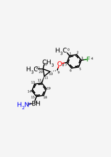 Cc1cc(F)ccc1OC[C@@H]1[C@@H](c2ccc(BN)cc2)C1(C)C